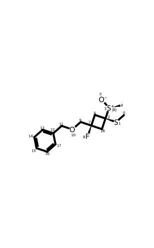 CS[C@]1([S@+](C)[O-])C[C@@](F)(COCc2ccccc2)C1